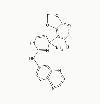 NC1(c2c(Cl)ccc3c2OCO3)C=CNC(Nc2ccc3nccnc3c2)=N1